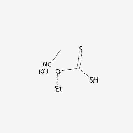 CC#N.CCOC(=S)S.[KH]